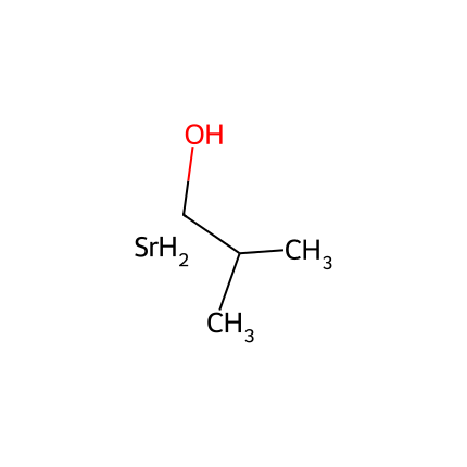 CC(C)CO.[SrH2]